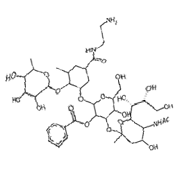 CC(=O)NC1C(O)CC(C)(OC2C(O)C(CO)OC(OC3CC(C(=O)NCCN)CC(C)C3OC3OC(C)C(O)C(O)C3O)C2OC(=O)c2ccccc2)OC1[C@H](O)[C@H](O)CO